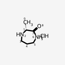 C[C@H]1NCCCNC1=O.Cl